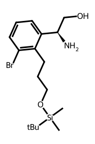 CC(C)(C)[Si](C)(C)OCCCc1c(Br)cccc1[C@H](N)CO